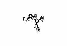 CC(Cc1nncn1C)c1cc(-c2cncs2)nc(N2Cc3c(cccc3C(F)(F)F)C2=O)c1